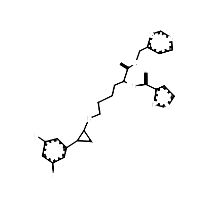 O=C(NC(CCCCNC1CC1c1cc(F)cc(F)c1)C(=O)NCc1ccncn1)c1ccn[nH]1